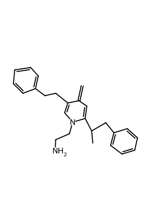 C=C1C=C(C(C)Cc2ccccc2)N(CCN)C=C1CCc1ccccc1